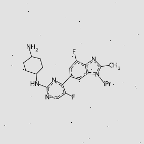 Cc1nc2c(F)cc(-c3nc(NC4CCC(N)CC4)ncc3F)cc2n1C(C)C